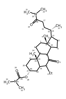 CCC1C(=O)C2C(CC[C@@]3(C)C2CCC3[C@@H](C)CCC(=O)N(C)C)[C@@]2(C)CC[C@@H](OC(=O)N(C)C)CC12